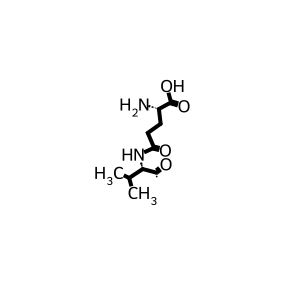 CC(C)[C@@H]([C]=O)NC(=O)CC[C@H](N)C(=O)O